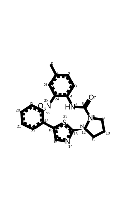 Cc1ccc(NC(=O)N2CCC[C@H]2c2ncc(-c3ccccc3)s2)c([N+](=O)[O-])c1